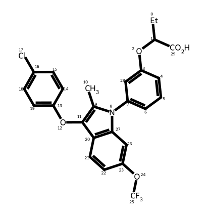 CCC(Oc1cccc(-n2c(C)c(Oc3ccc(Cl)cc3)c3ccc(OC(F)(F)F)cc32)c1)C(=O)O